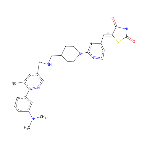 CN(C)c1cccc(-c2ncc(CNCC3CCN(c4nccc(/C=C5\SC(=O)NC5=O)n4)CC3)cc2C#N)c1